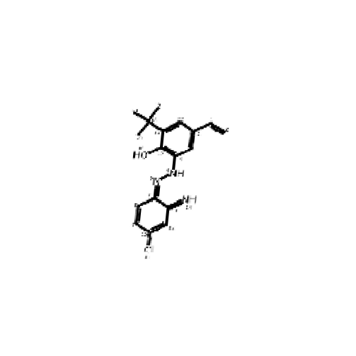 C=Cc1cc(N/N=C2/C=CC(Cl)=CC2=N)c(O)c(C(C)(C)C)c1